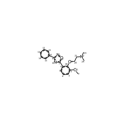 COc1cccc(-c2nc(-c3ccccc3)no2)c1OCCN(C)C